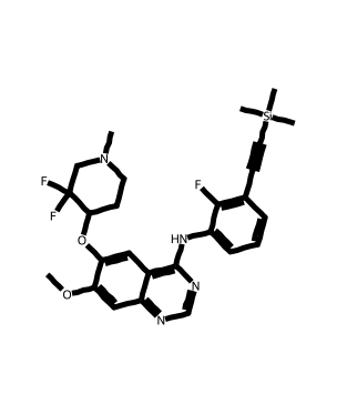 COc1cc2ncnc(Nc3cccc(C#C[Si](C)(C)C)c3F)c2cc1OC1CCN(C)CC1(F)F